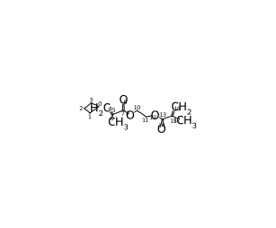 C1CCC1.C=C(C)C(=O)OCCOC(=O)C(=C)C